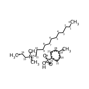 CCCCCCCCCCCC[N+](C)(C)CCC.Cc1ccc(S(=O)(=O)O)cc1